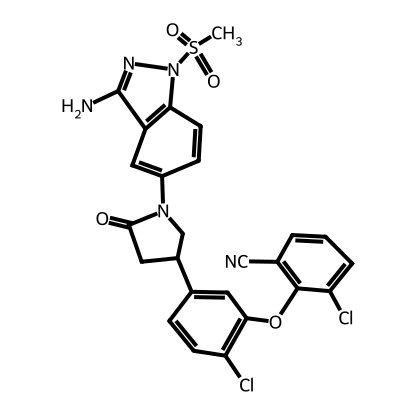 CS(=O)(=O)n1nc(N)c2cc(N3CC(c4ccc(Cl)c(Oc5c(Cl)cccc5C#N)c4)CC3=O)ccc21